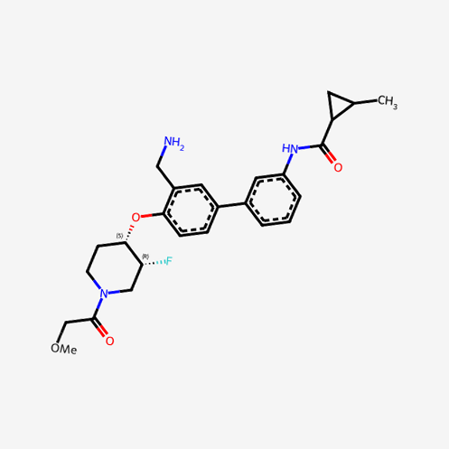 COCC(=O)N1CC[C@H](Oc2ccc(-c3cccc(NC(=O)C4CC4C)c3)cc2CN)[C@H](F)C1